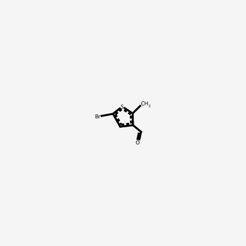 Cc1sc(Br)cc1[C]=O